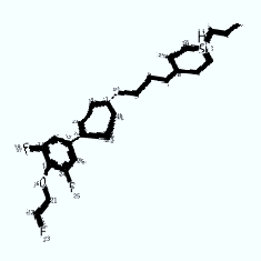 CCC[SiH]1CCC(CCCC[C@H]2CC[C@H](c3cc(F)c(OCCF)c(F)c3)CC2)CC1